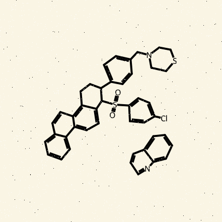 O=S(=O)(c1ccc(Cl)cc1)C1c2ccc3c(ccc4ccccc43)c2CCC1c1ccc(CN2CCSCC2)cc1.c1ccc2ncccc2c1